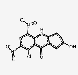 O=c1c2cc(O)ccc2[nH]c2c([N+](=O)[O-])cc([N+](=O)[O-])c(Cl)c12